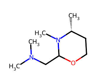 C[C@@H]1CCOC(CN(C)C)N1C